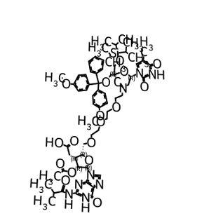 COc1ccc(C(OC[C@]2(CO[Si](C(C)C)(C(C)C)C(C)C)CN(CCOCCOCCOC[C@@H]3O[C@@H](n4cnc5c(=O)[nH]c(NC(=O)C(C)C)nc54)[C@H](OC(C)=O)[C@@H]3CC(=O)O)C[C@H](n3cc(C)c(=O)[nH]c3=O)O2)(c2ccccc2)c2ccc(OC)cc2)cc1